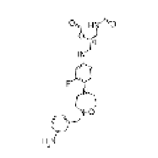 CC(=O)NC[C@@H](CNc1ccc(N2CCON(Cc3cccc(N)c3)CC2)c(F)c1)OC=O